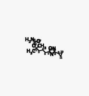 CC(C)(CCCc1nc(C2CC2)no1)OC(N)=O